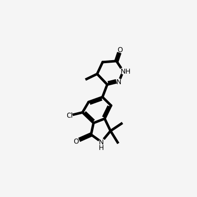 CC1CC(=O)NN=C1c1cc(Cl)c2c(c1)C(C)(C)NC2=O